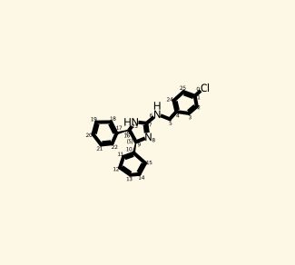 Clc1ccc(CNC2=N[C@@H](c3ccccc3)[C@@H](c3ccccc3)N2)cc1